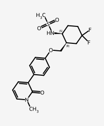 Cn1cccc(-c2ccc(OC[C@@H]3CC(F)(F)CC[C@@H]3NS(C)(=O)=O)cc2)c1=O